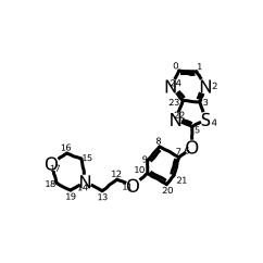 c1cnc2sc(Oc3ccc(OCCN4CCOCC4)cc3)nc2n1